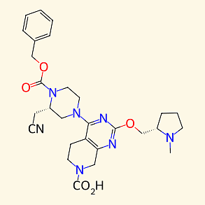 CN1CCC[C@H]1COc1nc2c(c(N3CCN(C(=O)OCc4ccccc4)[C@@H](CC#N)C3)n1)CCN(C(=O)O)C2